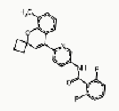 Cc1cccc2c1OC1(C=C2c2ccc(NC(=O)c3c(F)cccc3F)cn2)CCC1